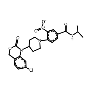 CC(C)NC(=O)c1ccc(N2CCC(N3C(=O)OCc4ccc(Cl)cc43)CC2)c([N+](=O)[O-])c1